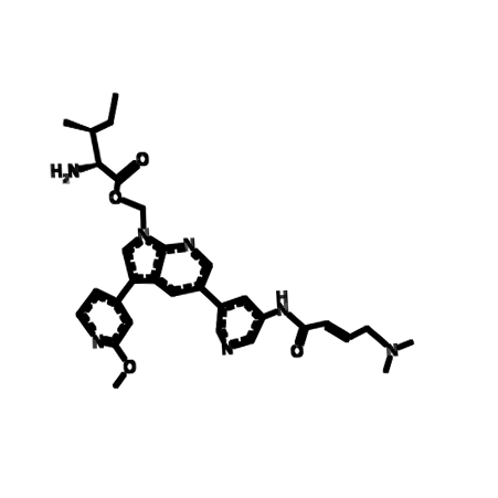 CC[C@H](C)[C@H](N)C(=O)OCn1cc(-c2ccnc(OC)c2)c2cc(-c3cncc(NC(=O)/C=C/CN(C)C)c3)cnc21